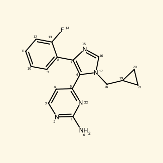 Nc1nccc(-c2c(-c3ccccc3F)ncn2CC2CC2)n1